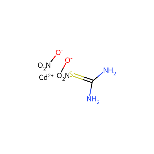 NC(N)=S.O=[N+]([O-])[O-].O=[N+]([O-])[O-].[Cd+2]